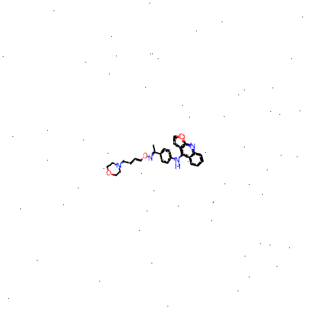 CC(=NOCCCCN1CCOCC1)c1ccc(Nc2c3ccccc3nc3occc23)cc1